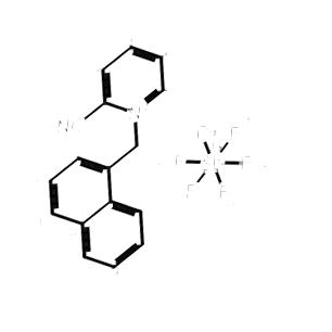 N#Cc1cccc[n+]1Cc1cccc2ccccc12.[F][Sb-]([F])([F])([F])([F])[F]